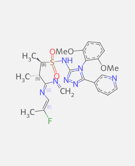 C=N/C(=N\C=C(/C)F)[C@H](C)[C@@H](C)S(=O)(=O)Nc1nnc(-c2cccnc2)n1-c1c(OC)cccc1OC